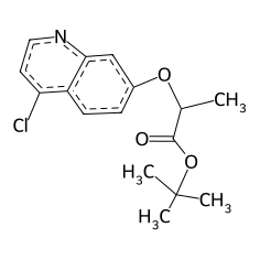 CC(Oc1ccc2c(Cl)ccnc2c1)C(=O)OC(C)(C)C